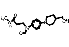 CNC(=O)CCN(C=O)c1ccc(N2CCC(CO)CC2)cc1